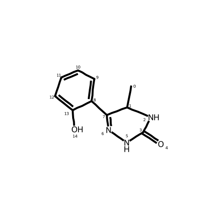 CC1NC(=O)NN=C1c1ccccc1O